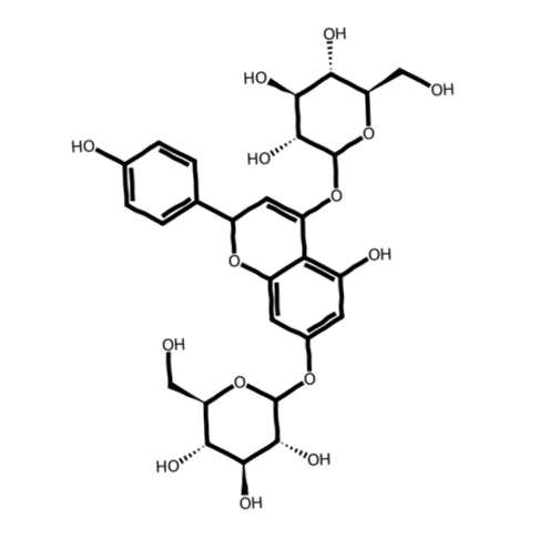 OC[C@H]1OC(OC2=CC(c3ccc(O)cc3)Oc3cc(OC4O[C@H](CO)[C@@H](O)[C@H](O)[C@H]4O)cc(O)c32)[C@H](O)[C@@H](O)[C@@H]1O